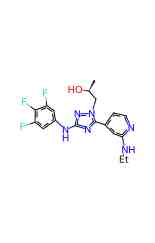 CCNc1cc(-c2nc(Nc3cc(F)c(F)c(F)c3)nn2C[C@H](C)O)ccn1